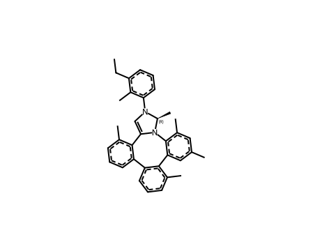 CCc1cccc(N2C=C3c4c(C)cccc4-c4cccc(C)c4-c4cc(C)cc(C)c4N3[C@@H]2C)c1C